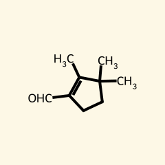 CC1=C(C=O)CCC1(C)C